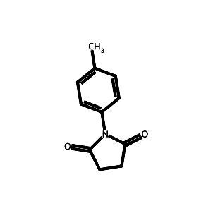 Cc1ccc(N2C(=O)CCC2=O)cc1